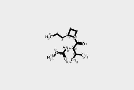 CCC[C@H]1CCN1C(=O)[C@@H](NC(=O)OC)C(C)C